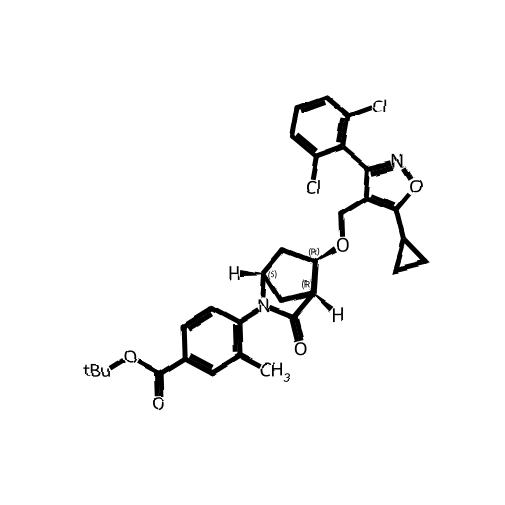 Cc1cc(C(=O)OC(C)(C)C)ccc1N1C(=O)[C@@H]2C[C@H]1C[C@H]2OCc1c(-c2c(Cl)cccc2Cl)noc1C1CC1